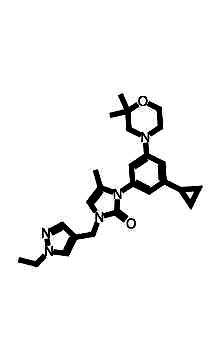 CCn1cc(Cn2cc(C)n(-c3cc(C4CC4)cc(N4CCOC(C)(C)C4)c3)c2=O)cn1